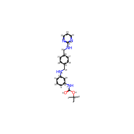 CC(C)(C)OC(=O)Nc1cccc(NCc2ccc(CNc3ncccn3)cc2)c1